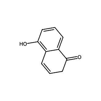 O=C1CC=Cc2c(O)cccc21